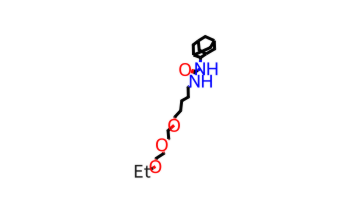 CCOCCOCCOCCCCCNC(=O)NC1C2CC3CC(C2)CC1C3